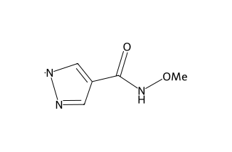 CONC(=O)C1=C[N]N=C1